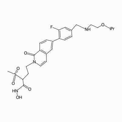 CC(C)OCCNCc1ccc(-c2ccc3c(=O)n(CCC(C(=O)NO)S(C)(=O)=O)ccc3c2)c(F)c1